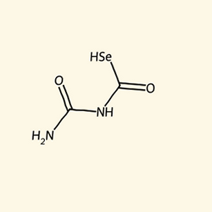 NC(=O)NC(=O)[SeH]